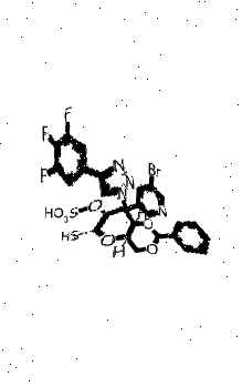 O=S(=O)(O)O[C@H]1[C@@H](S)O[C@@H]2COC(c3ccccc3)O[C@@H]2C1(c1cncc(Br)c1)n1cc(-c2cc(F)c(F)c(F)c2)nn1